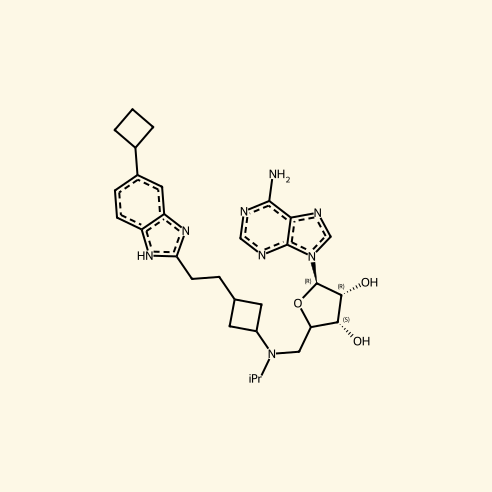 CC(C)N(CC1O[C@@H](n2cnc3c(N)ncnc32)[C@H](O)[C@@H]1O)C1CC(CCc2nc3cc(C4CCC4)ccc3[nH]2)C1